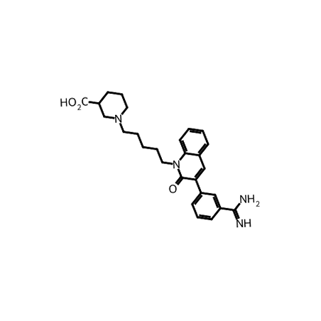 N=C(N)c1cccc(-c2cc3ccccc3n(CCCCCN3CCCC(C(=O)O)C3)c2=O)c1